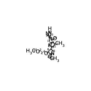 CCOCCCOc1cc(-c2cc(C)c3c(n2)CN(c2cn[nH]c2)C3=O)cnc1OC